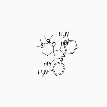 CCCC(Sc1cccc(N)c1)C1(C(CCC)Sc2cccc(N)c2)CC[Si](C)(C)[Si](C)(C)O1